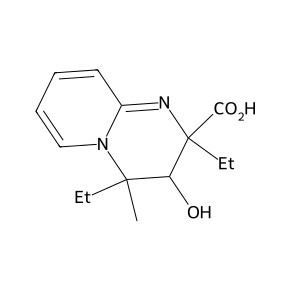 CCC1(C(=O)O)N=C2C=CC=CN2C(C)(CC)C1O